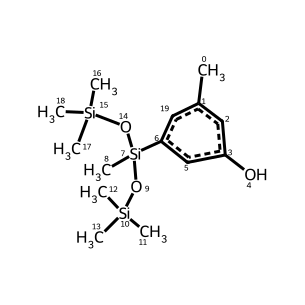 Cc1cc(O)cc([Si](C)(O[Si](C)(C)C)O[Si](C)(C)C)c1